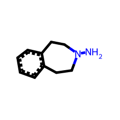 NN1CCc2ccccc2CC1